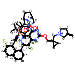 C=C1CCN(CC2(COc3nc4c5c(nc(-c6cccc7ccc(F)c(C#C[Si](C(C)C)(C(C)C)C(C)C)c67)c(F)c5n3)OC(C)C3C5CCC(CN43)N5C(=O)O)CC2)C1